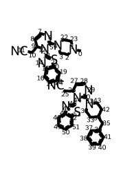 CN1CCN(C2=NC=CC(CC#N)N2c2nc3ccccc3s2)CC1.N#CCC1C=CN=C(N2CCC(Cc3ccccc3)CC2)N1c1nc2ccccc2s1